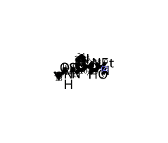 CC/C(=N/O)c1cc(C)c(-c2cc3nc(NC(=O)C4CC4)sc3n3ccnc23)cn1